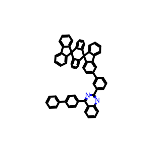 c1ccc(-c2ccc(-c3nc(-c4cccc(-c5ccc6c(c5)-c5ccccc5C65c6ccccc6C6(c7ccccc7-c7ccccc76)c6ccccc65)c4)nc4ccccc34)cc2)cc1